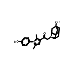 Cc1cc(C(=O)CN2C3CC4CC2CC(O)(C4)C3)c(C)n1-c1ccc(C#N)cc1